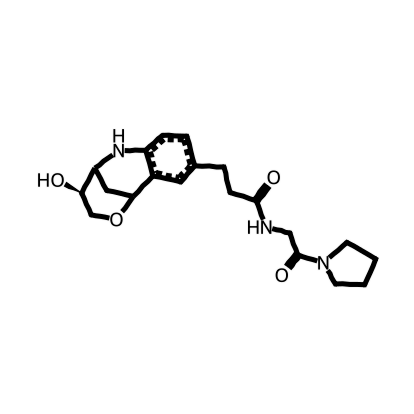 O=C(CCc1ccc2c(c1)C1CC(N2)[C@H](O)CO1)NCC(=O)N1CCCC1